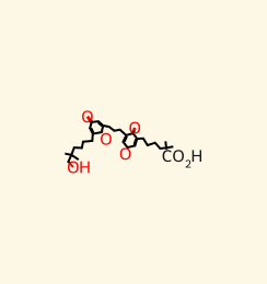 CC(C)(CO)CCCCC1=CC(=O)C=C(CCCC2=CC(=O)C=C(CCCCC(C)(C)C(=O)O)C2=O)C1=O